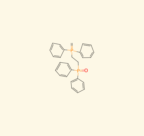 C=P(CCP(=O)(c1ccccc1)c1ccccc1)(c1ccccc1)c1ccccc1